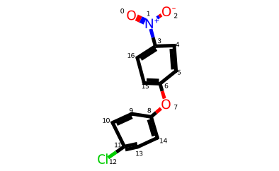 O=[N+]([O-])c1ccc(Oc2ccc(Cl)cc2)cc1